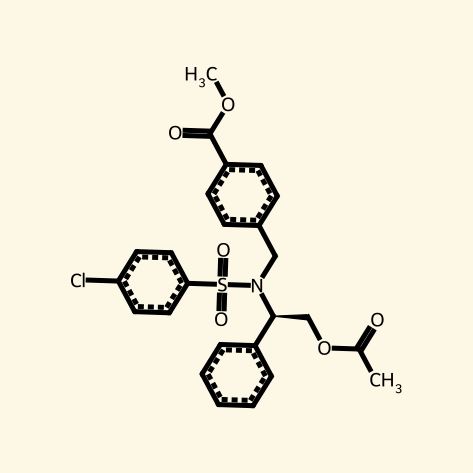 COC(=O)c1ccc(CN([C@@H](COC(C)=O)c2ccccc2)S(=O)(=O)c2ccc(Cl)cc2)cc1